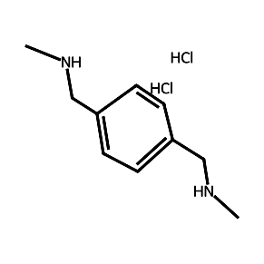 CNCc1ccc(CNC)cc1.Cl.Cl